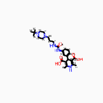 CC1=C(C(=O)O)C(c2cccc(NC(=O)NCCCN3CCN(C(C)(C)C)CC3)c2)C(C(=O)O)=C(C)N1